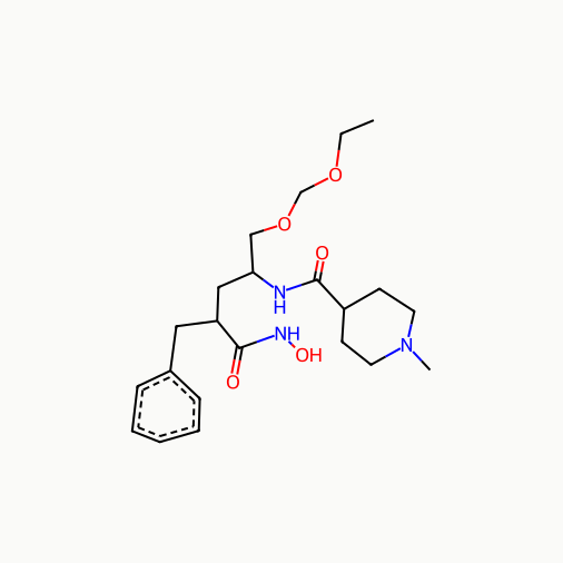 CCOCOCC(CC(Cc1ccccc1)C(=O)NO)NC(=O)C1CCN(C)CC1